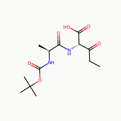 CCC(=O)[C@H](NC(=O)[C@H](C)NC(=O)OC(C)(C)C)C(=O)O